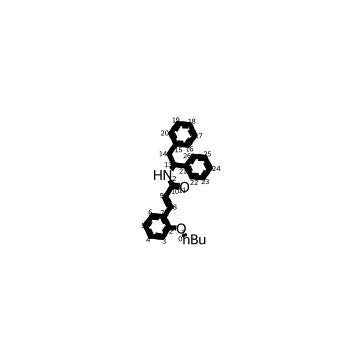 CCCCOc1ccccc1C=CC(=O)NC(Cc1ccccc1)c1ccccc1